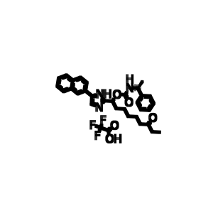 CCC(=O)CCCCCC(OC(=O)N[C@@H](C)c1ccccc1)c1ncc(-c2ccc3ccccc3c2)[nH]1.O=C(O)C(F)(F)F